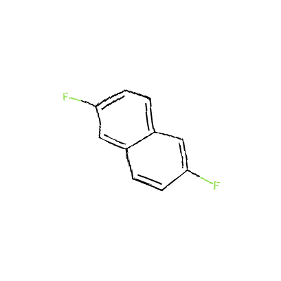 Fc1ccc2cc(F)ccc2c1